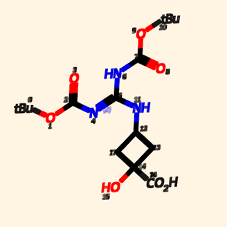 CC(C)(C)OC(=O)/N=C(\NC(=O)OC(C)(C)C)NC1CC(O)(C(=O)O)C1